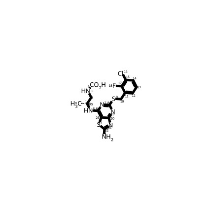 C[C@H](CNC(=O)O)Nc1nc(SCc2cccc(Cl)c2F)nc2nc(N)sc12